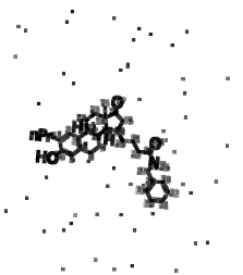 CCCc1cc2c(cc1O)CCC1[C@@H]2CCC2(C)C(=O)C[C@@H](CCCC(=O)N(C)Cc3ccccc3)[C@@H]12